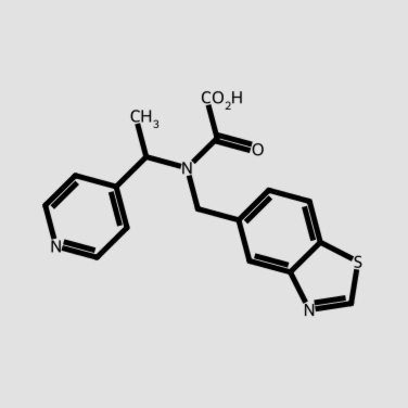 CC(c1ccncc1)N(Cc1ccc2scnc2c1)C(=O)C(=O)O